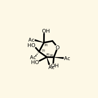 CC(=O)[C@@]1(O)[C@](O)(C(C)=O)[C@@](O)(C(C)=O)CO[C@@]1(O)C(C)=O